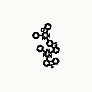 c1ccc(-c2nc(-c3cccc4sc5ccccc5c34)nc(-c3cccc4sc5cc(-c6nc(-c7ccccc7)c7oc8ccccc8c7n6)ccc5c34)n2)cc1